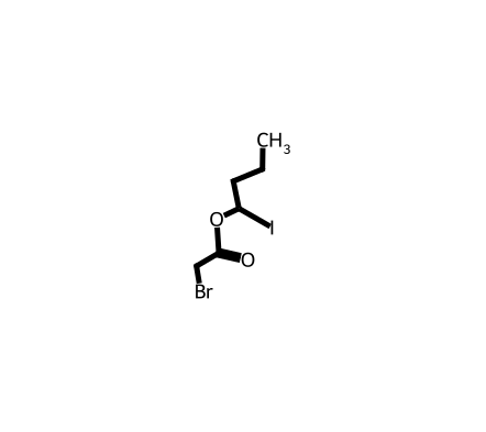 CCCC(I)OC(=O)CBr